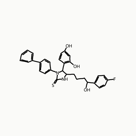 Oc1ccc(C2C(CCCC(O)c3ccc(F)cc3)NC(=S)N2c2ccc(-c3ccccc3)cc2)c(O)c1